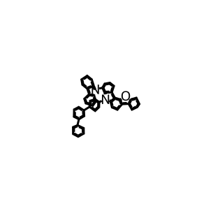 c1ccc(-c2cccc(-c3ccc(-n4c5ccc6c7ccccc7oc6c5c5cccc(-n6c7ccccc7c7ccccc76)c54)cc3)c2)cc1